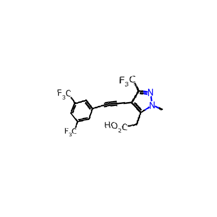 Cn1nc(C(F)(F)F)c(C#Cc2cc(C(F)(F)F)cc(C(F)(F)F)c2)c1CC(=O)O